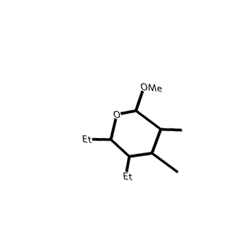 CCC1OC(OC)C(C)C(C)C1CC